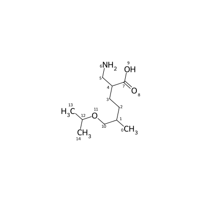 CC(CCC(CN)C(=O)O)COC(C)C